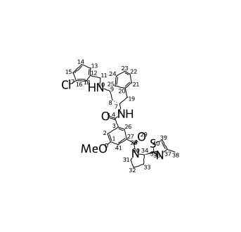 COc1cc(C(=O)N[C@H](CCNCc2cccc(Cl)c2)Cc2ccccc2)cc(C(=O)N2CCC[C@@H]2c2nc(C)cs2)c1